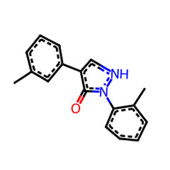 Cc1cccc(-c2c[nH]n(-c3ccccc3C)c2=O)c1